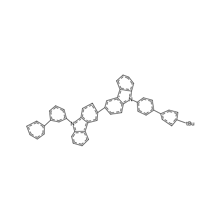 CC(C)(C)c1ccc(-c2ccc(-n3c4ccccc4c4cc(-c5ccc6c(c5)c5ccccc5n6-c5cccc(-c6ccccc6)c5)ccc43)cc2)cc1